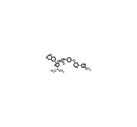 CC(C)c1cc(NC(=O)Nc2ccc(Oc3ccnc(-c4cnn(C)c4)c3)cc2)n(-c2ccc3ncncc3c2)n1